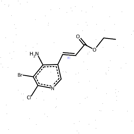 CCOC(=O)/C=C/c1cnc(Cl)c(Br)c1N